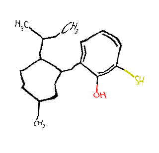 CC1CCC(C(C)C)C(c2cccc(S)c2O)C1